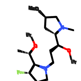 CO[C@@H]1C[C@@H]([C@H](CCN2CC[C@H](F)[C@H]2[C@H](C)OC(C)C)OC(C)C)N(C)C1